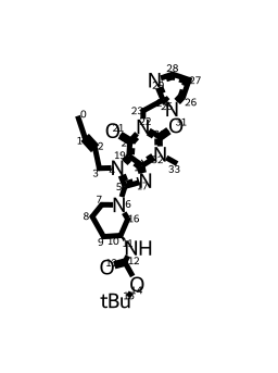 CC#CCn1c(N2CCC[C@@H](NC(=O)OC(C)(C)C)C2)nc2c1c(=O)n(Cc1ncccn1)c(=O)n2C